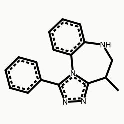 CC1CNc2ccccc2-n2c(-c3ccccc3)nnc21